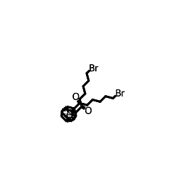 O=C(CCCCCBr)[C]12[CH]3[CH]4[CH]5[CH]1[Fe]45321678[CH]2[CH]1[CH]6[C]7(C(=O)CCCCCBr)[CH]28